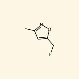 Cc1cc(CF)on1